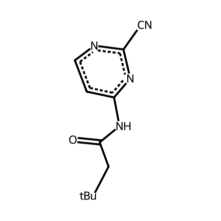 CC(C)(C)CC(=O)Nc1ccnc(C#N)n1